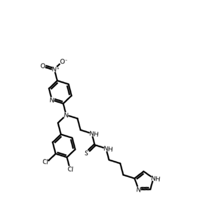 O=[N+]([O-])c1ccc(N(CCNC(=S)NCCCc2c[nH]cn2)Cc2ccc(Cl)c(Cl)c2)nc1